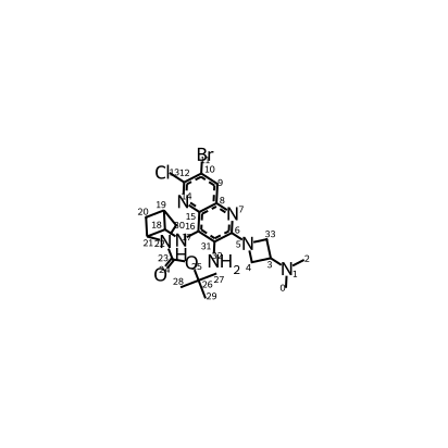 CN(C)C1CN(c2nc3cc(Br)c(Cl)nc3c(NC3C4CC3N(C(=O)OC(C)(C)C)C4)c2N)C1